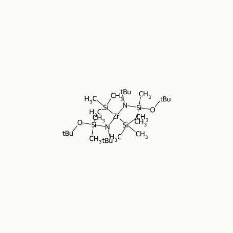 CC(C)(C)O[Si](C)(C)[N](C(C)(C)C)[Zr]([N](C(C)(C)C)[Si](C)(C)OC(C)(C)C)([Si](C)(C)C)[Si](C)(C)C